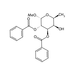 CO[C@@H]1O[C@@H](C)[C@@H](O)[C@@H](OC(=O)c2ccccc2)[C@@H]1OC(=O)c1ccccc1